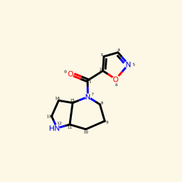 O=C(c1ccno1)N1CCCC2NCCC21